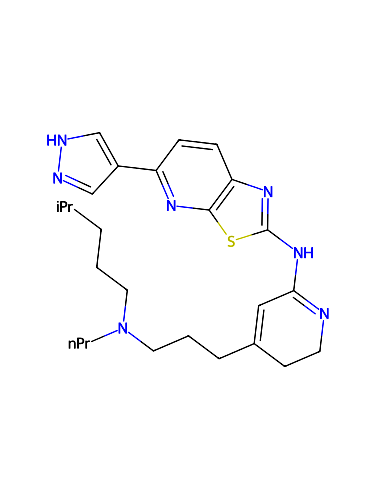 CCCN(CCCC1=CC(Nc2nc3ccc(-c4cn[nH]c4)nc3s2)=NCC1)CCCC(C)C